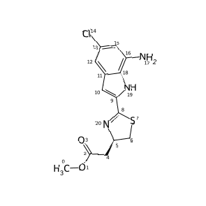 COC(=O)C[C@@H]1CSC(c2cc3cc(Cl)cc(N)c3[nH]2)=N1